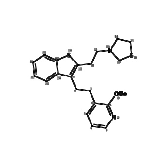 COc1ncccc1CCc1c(CCN2CCSC2)sc2ccccc12